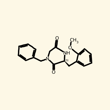 COc1ccccc1C[C@@H]1NC(=O)CN(Cc2ccccc2)C1=O